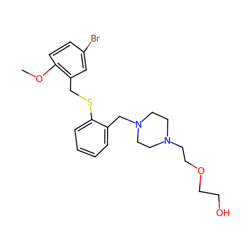 COc1ccc(Br)cc1CSc1ccccc1CN1CCN(CCOCCO)CC1